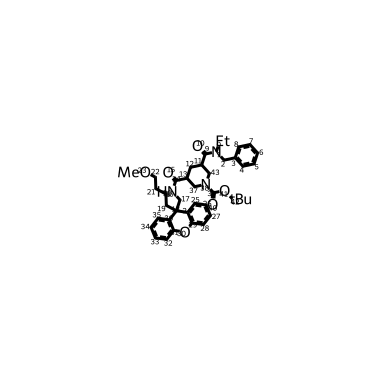 CCN(Cc1ccccc1)C(=O)C1CC(C(=O)NCC2(CCCCOC)c3ccccc3Oc3ccccc32)CN(C(=O)OC(C)(C)C)C1